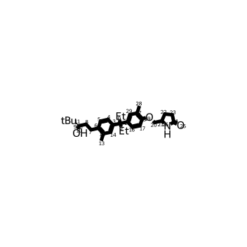 CCC(CC)(c1ccc(CC[C@H](O)C(C)(C)C)c(C)c1)c1ccc(OCC2CCC(=O)N2)c(C)c1